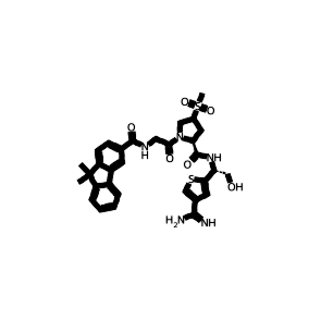 CC1(C)c2ccccc2-c2cc(C(=O)NCC(=O)N3CC(S(C)(=O)=O)C[C@H]3C(=O)N[C@H](CO)c3cc(C(=N)N)cs3)ccc21